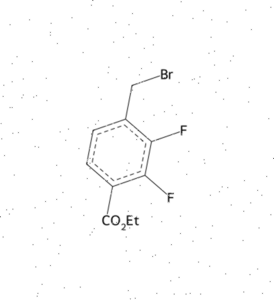 CCOC(=O)c1ccc(CBr)c(F)c1F